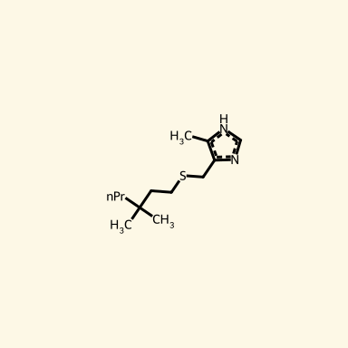 CCCC(C)(C)CCSCc1nc[nH]c1C